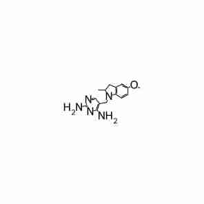 COc1ccc2c(c1)CC(C)N2Cc1cnc(N)nc1N